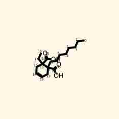 CCCCCCCCC1(C(=O)O)CC=CCC1(CC)C(=O)O